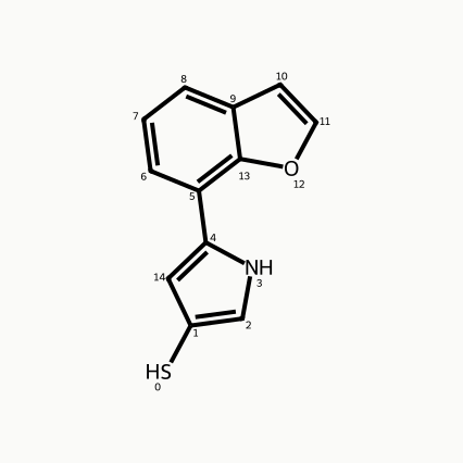 Sc1c[nH]c(-c2cccc3ccoc23)c1